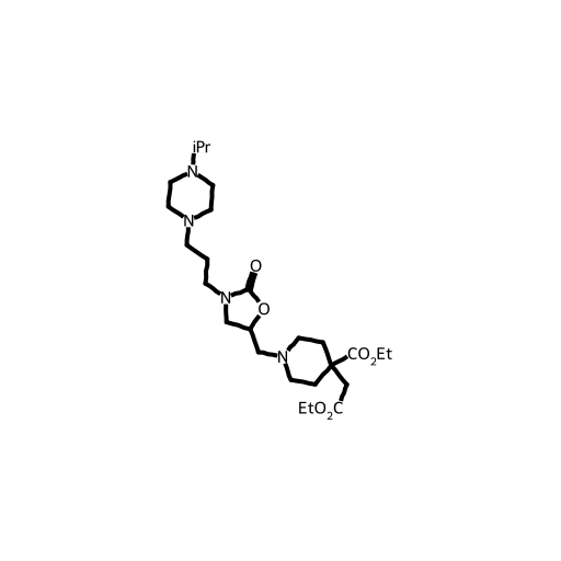 CCOC(=O)CC1(C(=O)OCC)CCN(CC2CN(CCCN3CCN(C(C)C)CC3)C(=O)O2)CC1